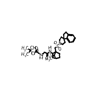 CC(C)(C)OC(=O)NCC(=O)NC1CC2CCC1(CS(=O)(=O)N1CCC3(CCc4ccccc43)CC1)C2(C)C